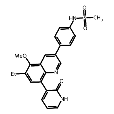 CCc1cc(-c2ccc[nH]c2=O)c2ncc(-c3ccc(NS(C)(=O)=O)cc3)cc2c1OC